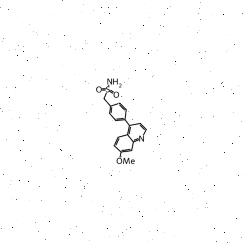 COc1ccc2c(-c3ccc(CS(N)(=O)=O)cc3)ccnc2c1